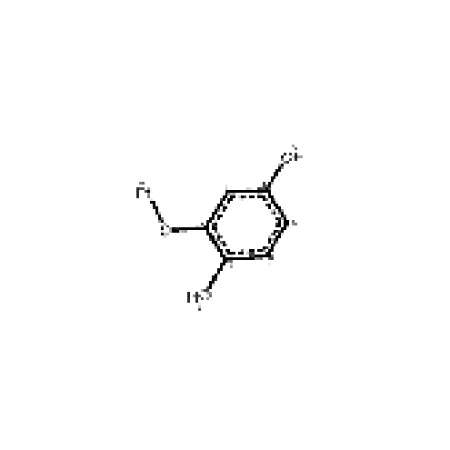 CCOc1cc(O)c[c]c1O